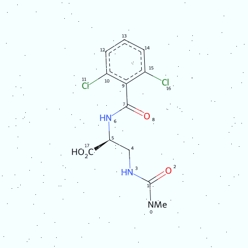 CNC(=O)NC[C@H](NC(=O)c1c(Cl)cccc1Cl)C(=O)O